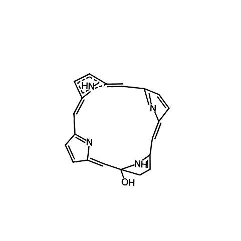 OC12C=C3C=CC(=N3)C=c3ccc([nH]3)=CC3=NC(=CC(=CC1)N2)C=C3